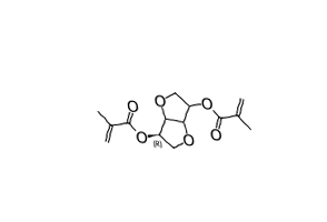 C=C(C)C(=O)OC1COC2C1OC[C@H]2OC(=O)C(=C)C